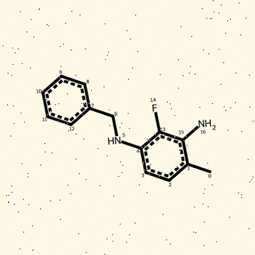 Cc1ccc(NCc2ccccc2)c(F)c1N